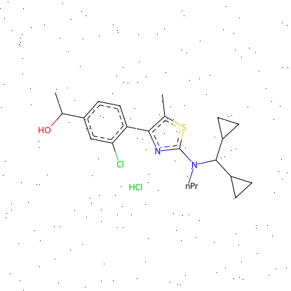 CCCN(c1nc(-c2ccc(C(C)O)cc2Cl)c(C)s1)C(C1CC1)C1CC1.Cl